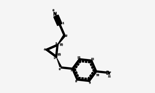 N#CC[C@@H]1C[C@H]1Cc1ccc(Br)cc1